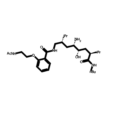 CCCCNC(=O)[C@@H](C[C@H](O)[C@@H](N)C[C@H](CNC(=O)c1ccccc1OCCNC(C)=O)C(C)C)C(C)C